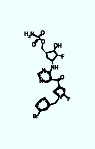 NS(=O)(=O)OC[C@H]1C[C@@H](Nc2ncncc2C(=O)c2cc(F)n(Cc3cccc(Br)c3)c2)[C@@H](F)[C@@H]1O